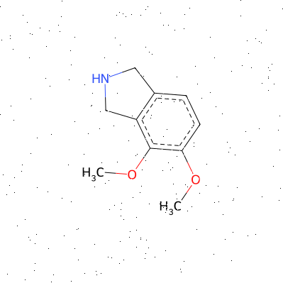 COc1ccc2c(c1OC)CNC2